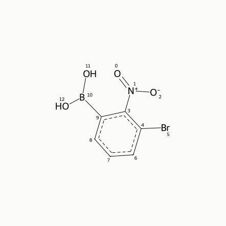 O=[N+]([O-])c1c(Br)cccc1B(O)O